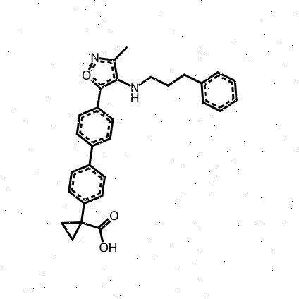 Cc1noc(-c2ccc(-c3ccc(C4(C(=O)O)CC4)cc3)cc2)c1NCCCc1ccccc1